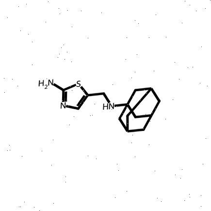 Nc1ncc(CNC23CC4CC(CC(C4)C2)C3)s1